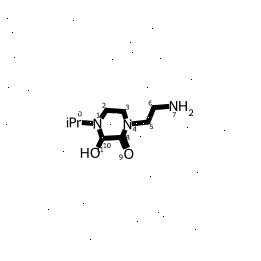 CC(C)N1CCN(CCN)C(=O)C1O